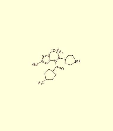 CC1CCC(C(=O)N(c2cc(C(C)(C)C)sc2C(=O)O)N(C)C2CCNCC2)CC1